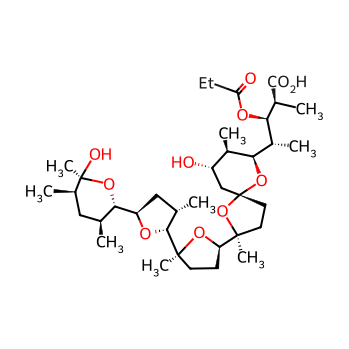 CCC(=O)O[C@H]([C@H](C)[C@H]1O[C@@]2(CC[C@@](C)([C@H]3CC[C@@](C)([C@@H]4O[C@@H]([C@H]5O[C@](C)(O)[C@H](C)C[C@@H]5C)C[C@@H]4C)O3)O2)C[C@H](O)[C@H]1C)[C@H](C)C(=O)O